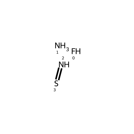 F.N.N=S